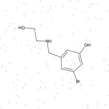 OCCNCc1cc(O)cc(Br)c1